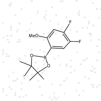 COc1cc(F)c(F)cc1B1OC(C)(C)C(C)(C)O1